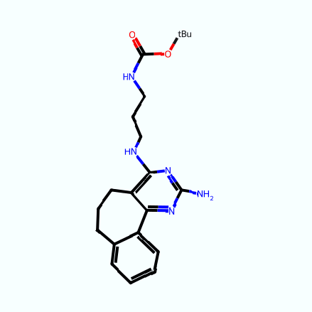 CC(C)(C)OC(=O)NCCCNc1nc(N)nc2c1CCCc1ccccc1-2